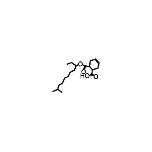 CCC(CCCCCCC(C)C)OC(=O)C1CC=CCC1C(=O)O